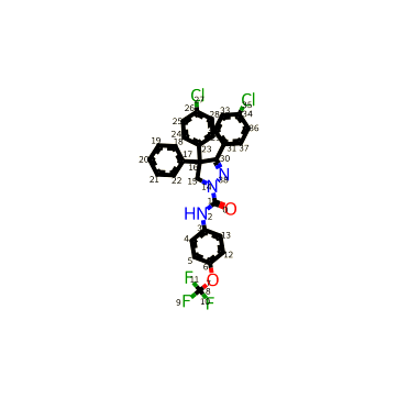 O=C(Nc1ccc(OC(F)(F)F)cc1)N1CC(c2ccccc2)(c2ccc(Cl)cc2)C(c2ccc(Cl)cc2)=N1